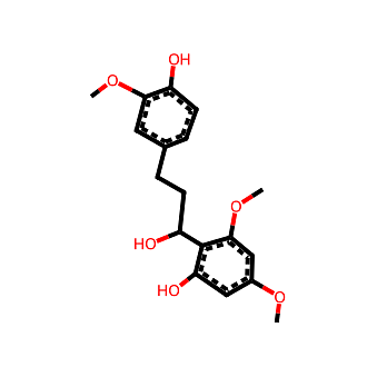 COc1cc(O)c(C(O)CCc2ccc(O)c(OC)c2)c(OC)c1